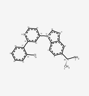 C[C@@H](N)c1ccc2c(c1)ncn2-c1ccnc(-c2ccccc2Cl)c1